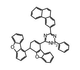 N/C(=N\C(=N/Cc1ccccc1)c1ccc2ccc3ccccc3c2c1)C1=CCC(c2cccc3oc4ccccc4c23)c2oc3ccccc3c21